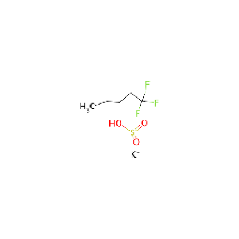 CCCCC(F)(F)F.O=[S-](=O)O.[K+]